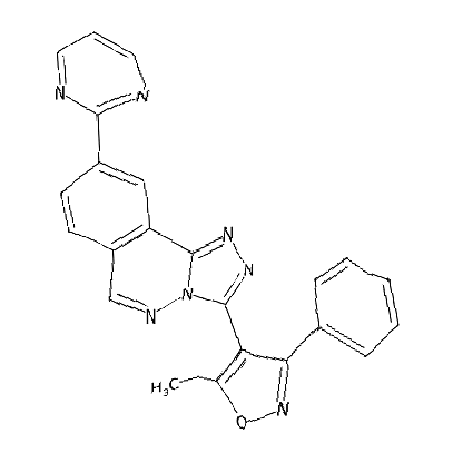 Cc1onc(-c2ccccc2)c1-c1nnc2c3cc(-c4ncccn4)ccc3cnn12